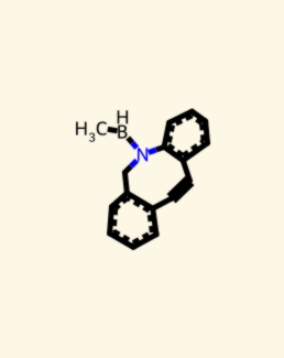 CBN1Cc2ccccc2C#Cc2ccccc21